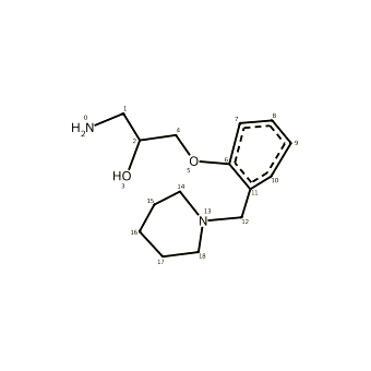 NCC(O)COc1ccccc1CN1CCCCC1